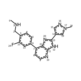 CNCc1ccc(-c2ccnc3[nH]c(-c4cnn(C)c4)nc23)cc1F